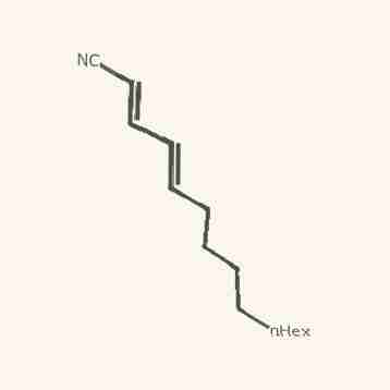 CCCCCCCCCC/C=C/C=C/C#N